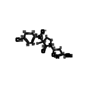 CC(C)(C)c1cc(N2CCC(C)([S+]([O-])c3ccc(Cl)cc3)C2=O)on1